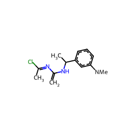 C=C(/N=C(\C)Cl)NC(C)c1cccc(NC)c1